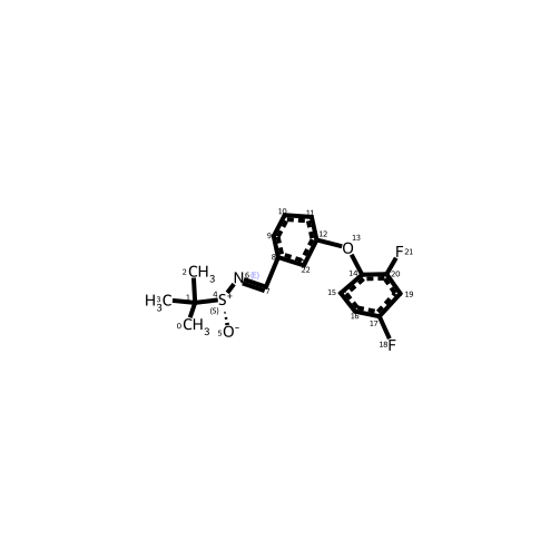 CC(C)(C)[S@@+]([O-])/N=C/c1cccc(Oc2ccc(F)cc2F)c1